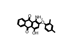 Cc1ccc(Oc2cc(O)c3c(c2N)C(=O)c2ccccc2C3=O)c(C)c1